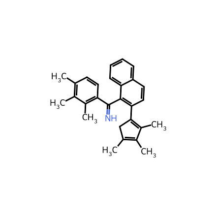 CC1=C(C)C(C)=C(c2ccc3ccccc3c2C(=N)c2ccc(C)c(C)c2C)C1